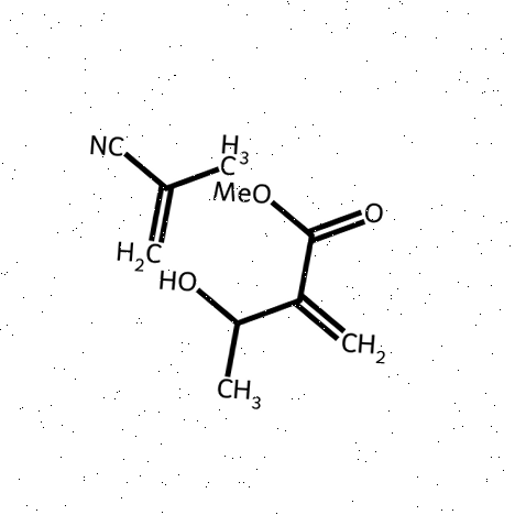 C=C(C(=O)OC)C(C)O.C=C(C)C#N